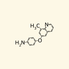 Cc1cc(Oc2ccc(N)cc2)cc2cccnc12